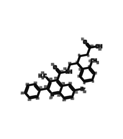 Cc1ccccc1C(CCC(=O)O)CNC(=O)c1c(C)c(-c2ccccc2)nc2ccc(Br)cc12